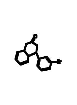 O=C1CC2C=CC=CC2C(c2cccc(Br)c2)C1